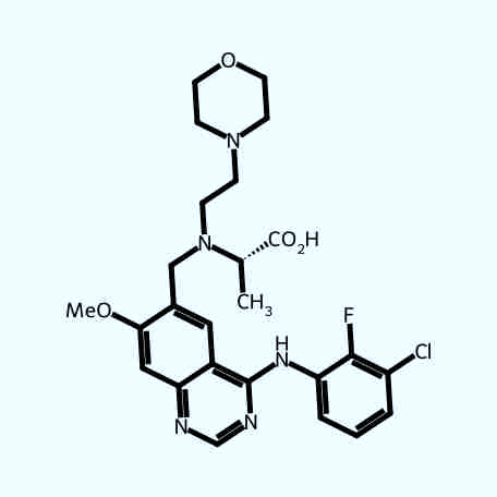 COc1cc2ncnc(Nc3cccc(Cl)c3F)c2cc1CN(CCN1CCOCC1)[C@@H](C)C(=O)O